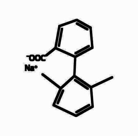 Cc1cccc(C)c1-c1ccccc1C(=O)[O-].[Na+]